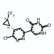 O=c1[nH]cc(-c2cc([C@@H]3C[C@H]3C(F)(F)F)c(Cl)nn2)c(=O)[nH]1